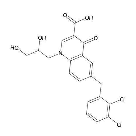 O=C(O)c1cn(CC(O)CO)c2ccc(Cc3cccc(Cl)c3Cl)cc2c1=O